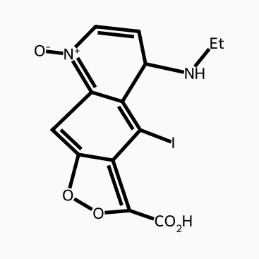 CCNC1C=C[N+]([O-])=c2cc3c(c(I)c21)=C(C(=O)O)OO3